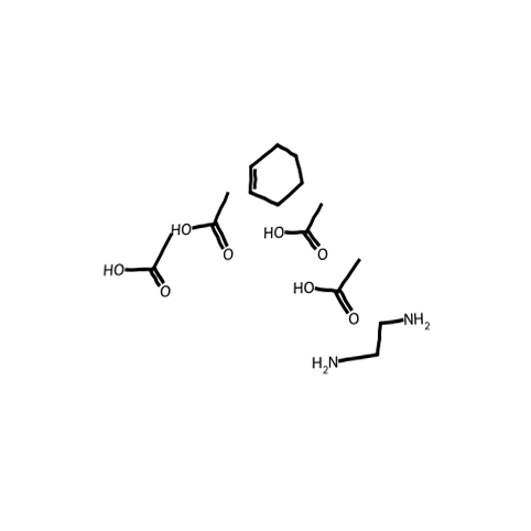 C1=CCCCC1.CC(=O)O.CC(=O)O.CC(=O)O.CC(=O)O.NCCN